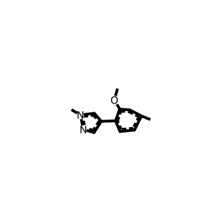 COc1cc(C)ccc1-c1cnn(C)c1